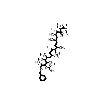 CC(=CC(C)C(O)C(C)C=CC(O)CC(O)C(C)C(C)(O)C(C)C(=O)O)CC(C)C(O)C(C)C(OC(N)=O)C(C)COCc1ccccc1